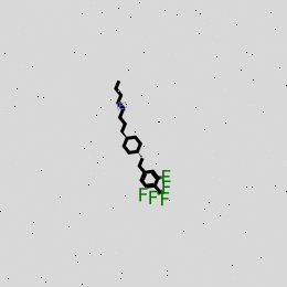 CCC/C=C/CCC[C@H]1CC[C@H](CCc2cc(F)c(C(F)(F)F)c(F)c2)CC1